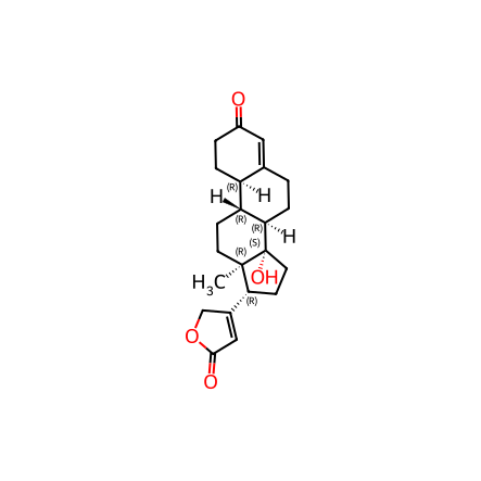 C[C@]12CC[C@H]3[C@@H](CCC4=CC(=O)CC[C@@H]43)[C@@]1(O)CC[C@@H]2C1=CC(=O)OC1